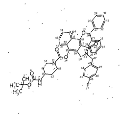 CC(C)(C)OC(=O)NC1CCN(C(=O)Oc2c3c(c(OC(c4ccccc4)c4ccccc4)c4ncccc24)C(=O)N(Cc2ccc(F)cc2)C3)CC1